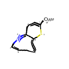 COc1cc2ncccc2s1